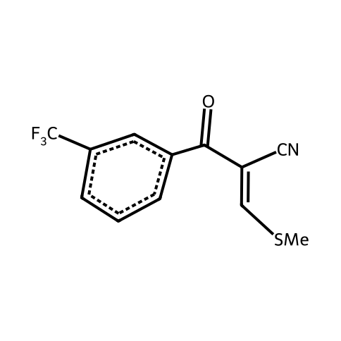 CSC=C(C#N)C(=O)c1cccc(C(F)(F)F)c1